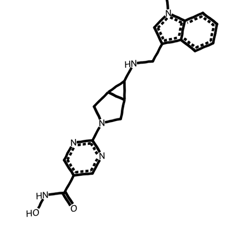 Cn1cc(CNC2C3CN(c4ncc(C(=O)NO)cn4)CC32)c2ccccc21